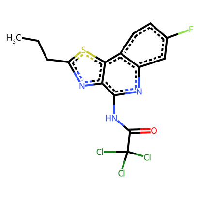 CCCc1nc2c(NC(=O)C(Cl)(Cl)Cl)nc3cc(F)ccc3c2s1